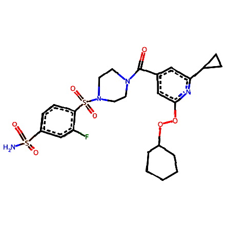 NS(=O)(=O)c1ccc(S(=O)(=O)N2CCN(C(=O)c3cc(OOC4CCCCC4)nc(C4CC4)c3)CC2)c(F)c1